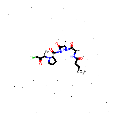 CC(C)[C@@H](C(=O)CCl)N1CCC[C@H]1C(=O)NC(=O)[C@H](C)NC(=O)[C@H](C)NC(=O)CCC(=O)O